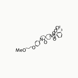 COCCCOc1ccc(N2CCC3(CCN(S(=O)(=O)c4ccccc4OC(F)(F)F)CC3)C2=O)cc1